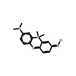 CC/N=C1/C=CC2=Nc3ccc(N(C)C)cc3[Si](C)(C)C2=C1